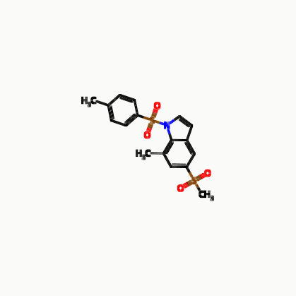 Cc1ccc(S(=O)(=O)n2ccc3cc(S(C)(=O)=O)cc(C)c32)cc1